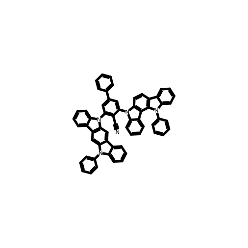 N#Cc1c(-n2c3ccccc3c3cc4c(cc32)c2ccccc2n4-c2ccccc2)cc(-c2ccccc2)cc1-n1c2ccccc2c2c1ccc1c3ccccc3n(-c3ccccc3)c12